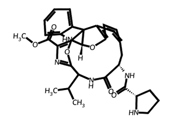 COC(=O)c1nc2oc1C13c4ccccc4N[C@H]1Oc1ccc(cc13)C[C@H](NC(=O)[C@@H]1CCCN1)C(=O)NC2C(C)C